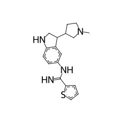 CN1CCC(C2CNc3ccc(NC(=N)c4cccs4)cc32)C1